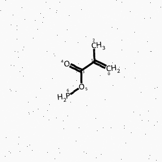 C=C(C)C(=O)OP